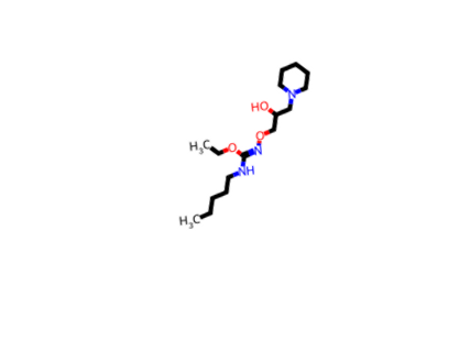 CCCCCNC(=NOCC(O)CN1CCCCC1)OCC